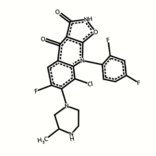 CC1CN(c2c(F)cc3c(=O)c4c(=O)[nH]oc4n(-c4ccc(F)cc4F)c3c2Cl)CCN1